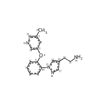 Cc1cc(Oc2ccccc2-n2cc(CCN)cn2)cnn1